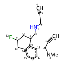 C#CCNC.C#CCNCC1CC(F)Cc2ccccc21